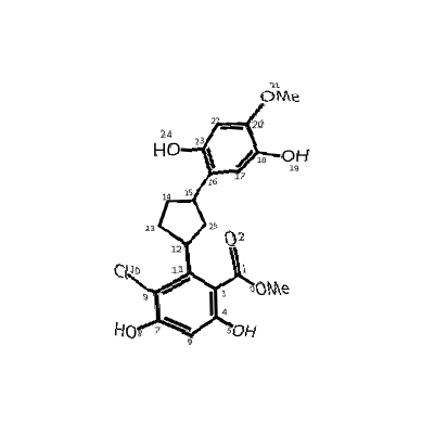 COC(=O)c1c(O)cc(O)c(Cl)c1C1CCC(c2cc(O)c(OC)cc2O)C1